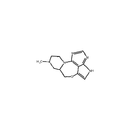 CC1CCN2c3ncnc4[nH]cc(c34)OCC2C1